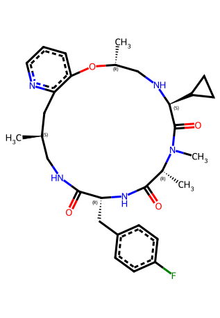 C[C@@H]1CNC(=O)[C@@H](Cc2ccc(F)cc2)NC(=O)[C@@H](C)N(C)C(=O)[C@H](C2CC2)NC[C@@H](C)Oc2cccnc2C1